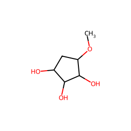 COC1CC(O)C(O)C1O